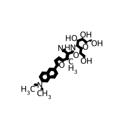 CCN(CC)c1ccc2cc(-c3ccc(/C(C)=C(\C#N)C(=O)N[C@H]4C(CCO)O[C@H](CO)[C@@H](O)[C@@H]4O)o3)ccc2c1